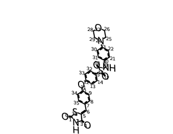 O=C1NC(=O)C(=Cc2ccc(Oc3ccc(S(=O)(=O)Nc4ccc(N5CCOCC5)cc4)cc3)cc2)S1